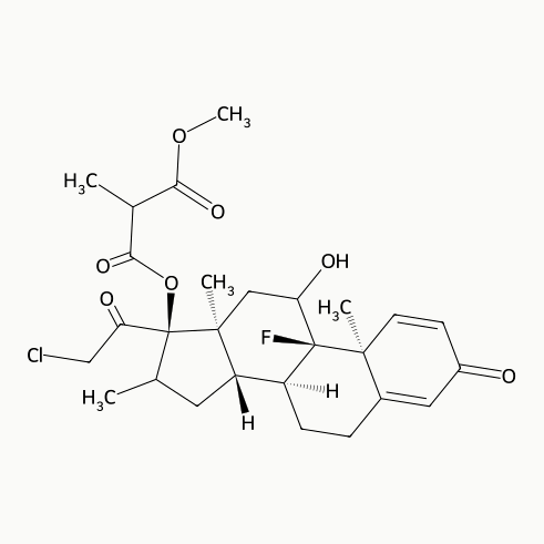 COC(=O)C(C)C(=O)O[C@]1(C(=O)CCl)C(C)C[C@H]2[C@@H]3CCC4=CC(=O)C=C[C@]4(C)[C@@]3(F)C(O)C[C@@]21C